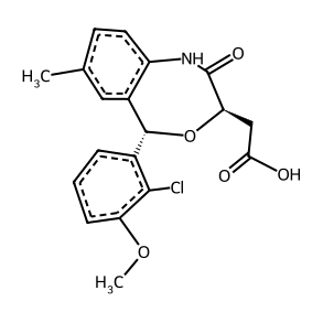 COc1cccc([C@H]2O[C@H](CC(=O)O)C(=O)Nc3ccc(C)cc32)c1Cl